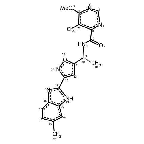 COc1ncnc(C(=O)N[C@H](C)c2cc(-c3nc4ccc(C(F)(F)F)cc4[nH]3)no2)c1Cl